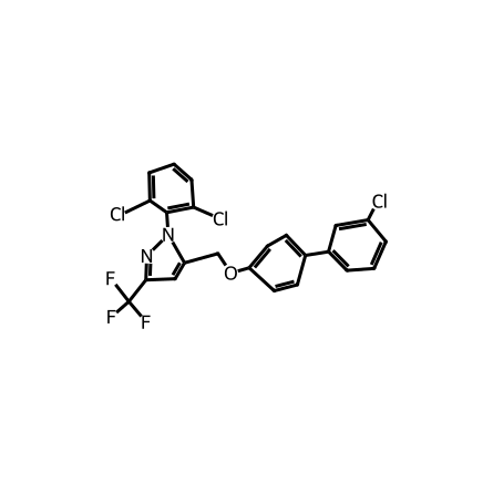 FC(F)(F)c1cc(COc2ccc(-c3cccc(Cl)c3)cc2)n(-c2c(Cl)cccc2Cl)n1